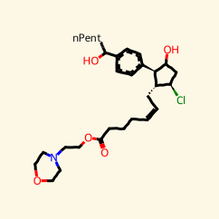 CCCCCC(O)c1ccc([C@H]2C(O)C[C@@H](Cl)[C@@H]2C/C=C\CCCC(=O)OCCN2CCOCC2)cc1